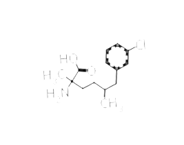 CC(CCC(C)(N)C(=O)O)Cc1cccc(Cl)c1